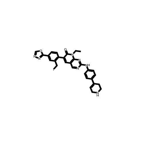 CCn1c(=O)c(-c2ccc(-c3nnco3)cc2CI)cc2cnc(Nc3ccc(C4=CCNCC4)cc3)nc21